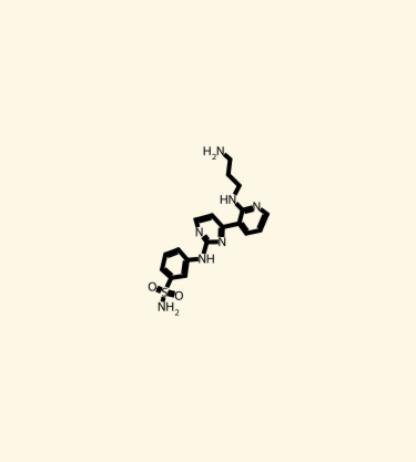 NCCCNc1ncccc1-c1ccnc(Nc2cccc(S(N)(=O)=O)c2)n1